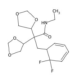 CCNC(=O)C(CC1C=CC=CC1(F)F)(C1COCO1)C1COCO1